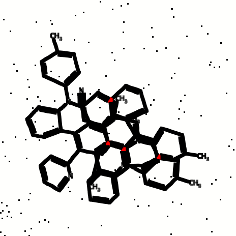 Cc1ccc(N(c2ccc(C)cc2)c2ccccc2-c2c(C#N)c(-c3ccccc3N(c3ccc(C)cc3)c3ccc(C)cc3)c(-c3ccccn3)c(-c3ccccc3N(c3ccc(C)cc3)c3ccc(C)cc3)c2-c2ccccn2)cc1